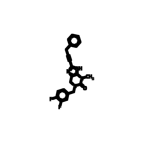 CN1C(=O)N(Cc2ccc(F)c(F)c2)Cc2nc(C#CCc3ccccc3)[nH]c21